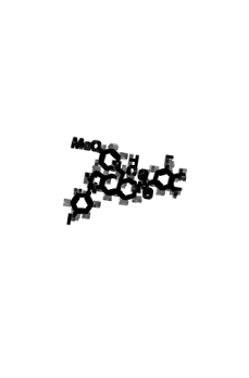 COC1=CCN([C@H](O)[C@]23Cc4cnn(-c5ccc(F)cc5)c4C=C2CCN(S(=O)(=O)c2cc(F)c(F)c(F)c2)C3)C=C1